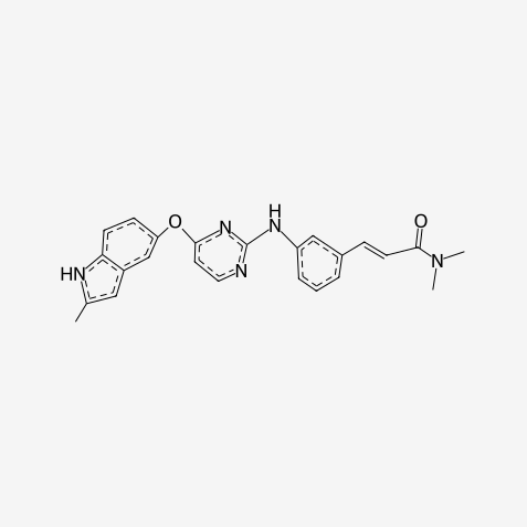 Cc1cc2cc(Oc3ccnc(Nc4cccc(C=CC(=O)N(C)C)c4)n3)ccc2[nH]1